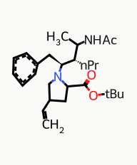 C=CC1CC(C(=O)OC(C)(C)C)N([C@@H](Cc2ccccc2)[C@@H](CCC)C(C)NC(C)=O)C1